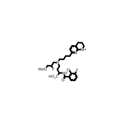 COCC(F)CN(CCCCc1ccc2c(n1)NCCC2)CCC(NC(=O)c1cccc(F)c1Cl)C(=O)O